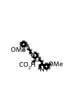 COc1ccc2nccc(CCC[C@@H]3CCN(CCCSc4ccccc4OC)C[C@@H]3CCC(=O)O)c2c1